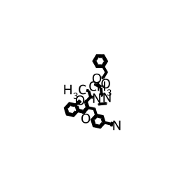 CC(C)C(c1oc2ccccc2c(=O)c1Cc1cccc(C#N)c1)N1CCN=C1C1=COC(Cc2ccccc2)O1